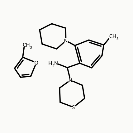 Cc1ccc(C(N)N2CCSCC2)c(N2CCCCC2)c1.Cc1ccco1